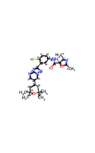 Cc1nc(C)c(C(=O)Nc2ccc(F)c(-c3nc4ncc(C5=CC(C)(C)OC(C)(C)C5)cn4n3)c2)o1